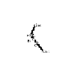 CCCCCCCCCCCCCCCC[N+](CC)(CC)CCOCCOC(=O)CCCCCCCCCCCCCCC.[Br-]